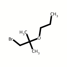 CCCOC(C)(C)CBr